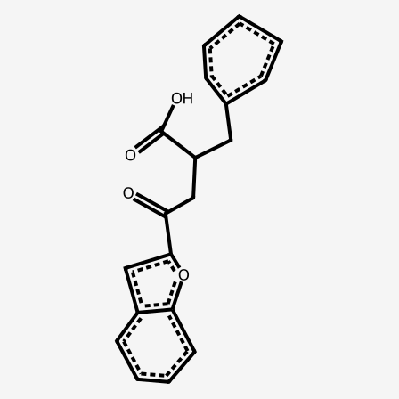 O=C(CC(Cc1ccccc1)C(=O)O)c1cc2ccccc2o1